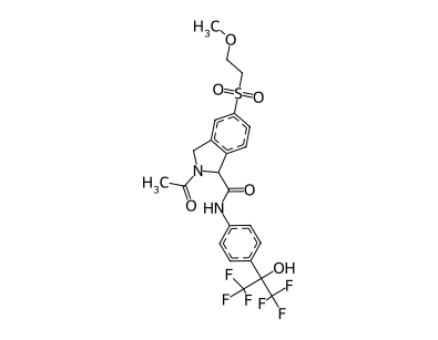 COCCS(=O)(=O)c1ccc2c(c1)CN(C(C)=O)C2C(=O)Nc1ccc(C(O)(C(F)(F)F)C(F)(F)F)cc1